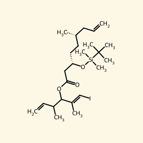 C=CC[C@@H](C)CC[C@@H](CC(=O)OC(C(C)=CI)C(C)C=C)O[Si](C)(C)C(C)(C)C